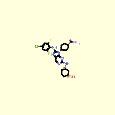 NC(=O)[C@H]1CC[C@@H](n2c(Nc3c(F)cc(Cl)cc3F)nc3cnc(N[C@@H]4CCC[C@@H](O)C4)nc32)CC1